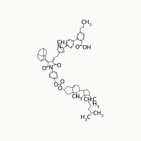 CCCc1ccc(C(=O)O)c(-c2ccc(-c3cc(CC=C4C(=O)N(c5ccc(OC(=O)OC6CCC7(C)C(=CCC8C7CCC7(C)C(C(C)CCCC(C)C)CCC87)C6)cc5)C(=O)C4=C4C5CC6CC(C5)CC4C6)cn3C)cc2)c1